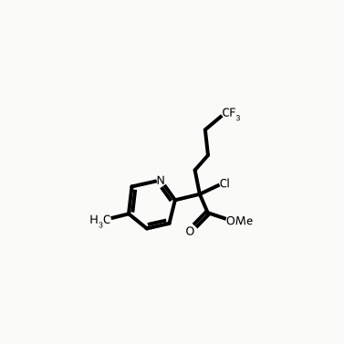 COC(=O)C(Cl)(CCCC(F)(F)F)c1ccc(C)cn1